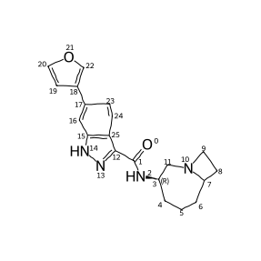 O=C(N[C@@H]1CCCC2CCN2C1)c1n[nH]c2cc(-c3ccoc3)ccc12